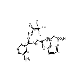 Nc1cccc(C(=O)NCC(=O)NC(CC(=O)O)c2ccccc2)c1.O=C(O)C(F)(F)F